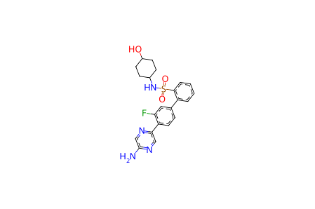 Nc1cnc(-c2ccc(-c3ccccc3S(=O)(=O)NC3CCC(O)CC3)cc2F)cn1